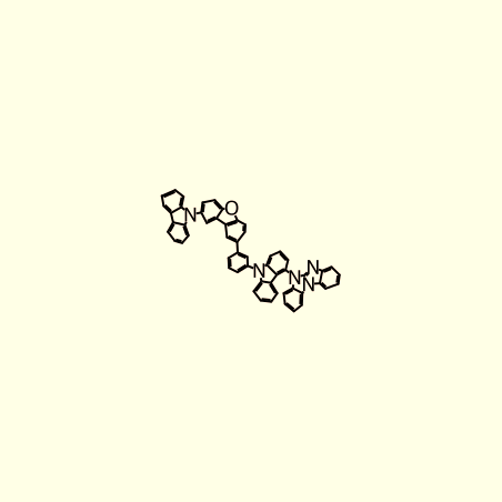 c1cc(-c2ccc3oc4ccc(-n5c6ccccc6c6ccccc65)cc4c3c2)cc(-n2c3ccccc3c3c(-n4c5ccccc5n5c6ccccc6nc45)cccc32)c1